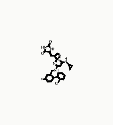 O=C1NC(=O)C(=Cc2cnn3c(NC4CC4)cc(NCc4cc(F)ccc4-c4ccccc4Cl)nc23)N1